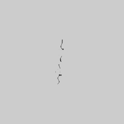 CCCC(=O)OCCSCCOC(=O)CCC